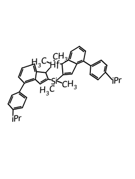 CC(C)c1ccc(-c2cccc3c2C=C2[CH]3[Hf]([CH3])([CH3])[CH]3C(=Cc4c(-c5ccc(C(C)C)cc5)cccc43)[Si]2(C)C)cc1